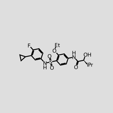 CCOc1cc(NC(=O)[C@@H](O)C(C)C)ccc1S(=O)(=O)Nc1ccc(F)c(C2CC2)c1